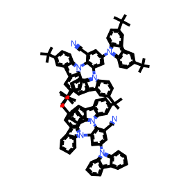 CC(C)(C)c1ccc2c(c1)c1cc(C(C)(C)C)ccc1n2-c1cc(C#N)c(-n2c3ccc(C(C)(C)C)cc3c3cc(C(C)(C)Cc4ccc5c(c4)c4ccccc4n5-c4cc(-n5c6ccccc6c6ccccc65)cc(C#N)c4-n4c5ccccc5c5ccccc54)ccc32)c(-n2c3ccc(C(C)(C)C)cc3c3cc(C(C)(C)C)ccc32)c1